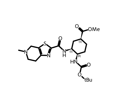 COC(=O)[C@H]1CC[C@@H](NC(=O)OC(C)(C)C)[C@@H](NC(=O)c2nc3c(s2)CN(C)CC3)C1